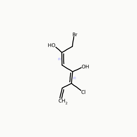 C=C/C(Cl)=C(O)\C=C(\O)CBr